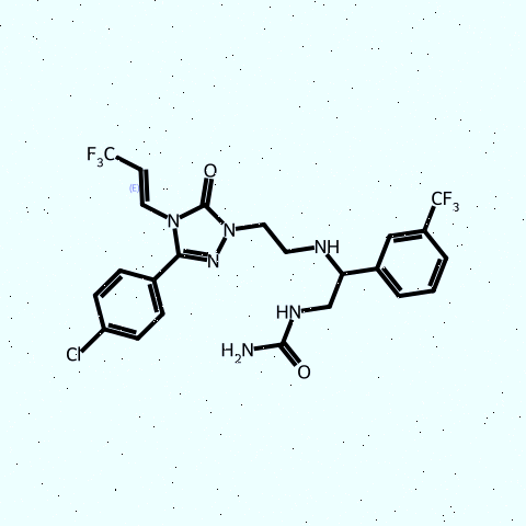 NC(=O)NCC(NCCn1nc(-c2ccc(Cl)cc2)n(/C=C/C(F)(F)F)c1=O)c1cccc(C(F)(F)F)c1